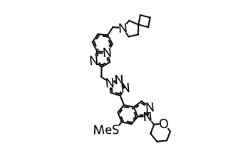 CSc1cc(-c2cn(Cc3cn4cc(CN5CCC6(CCC6)C5)ccc4n3)nn2)c2cnn(C3CCCCO3)c2c1